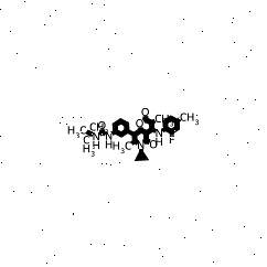 Cc1ccc(Nc2c(C)c(=O)oc3c(-c4cccc(NC(=O)NC(C)(C)C)c4)c(C)n(C4CC4)c(=O)c23)c(F)c1